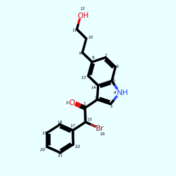 O=C(c1c[nH]c2ccc(CCCO)cc12)C(Br)c1ccccc1